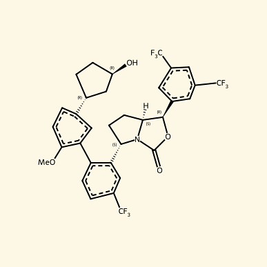 COc1ccc([C@@H]2CC[C@@H](O)C2)cc1-c1ccc(C(F)(F)F)cc1[C@@H]1CC[C@H]2[C@@H](c3cc(C(F)(F)F)cc(C(F)(F)F)c3)OC(=O)N12